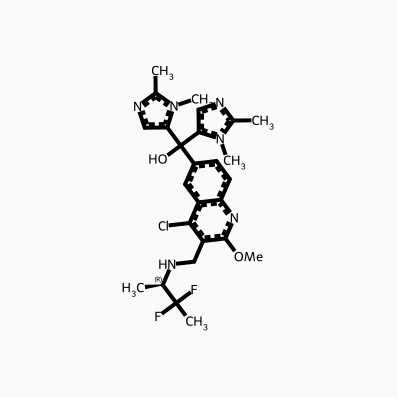 COc1nc2ccc(C(O)(c3cnc(C)n3C)c3cnc(C)n3C)cc2c(Cl)c1CN[C@H](C)C(C)(F)F